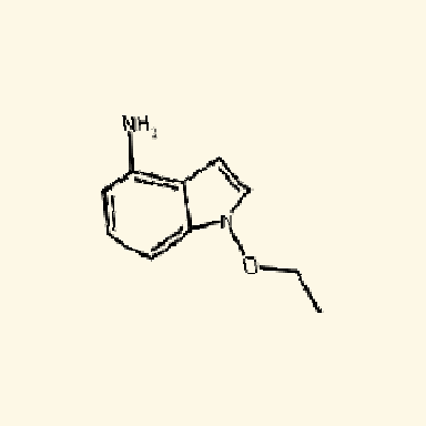 CCOn1ccc2c(N)cccc21